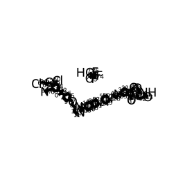 CC(C)(c1ccc(OCc2ccnc(N3CCC4(CC3)CCN(C3CCN(C5CN(c6ccc7c(c6)C(=O)N(C6CCC(=O)NC6=O)C7=O)C5)CC3)CC4)n2)cc1)c1cc(Cl)c(OCCCl)c(C#N)c1.O=C(O)C(F)(F)F